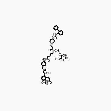 CN(CCCCC(=O)Nc1ccc(CNC[C@H](O)c2ccc(O)c3[nH]c(=O)ccc23)cc1)C(=O)CCN1CCC(OC(=O)Nc2ccccc2-c2ccccc2)CC1.O.O=C(O)C(=O)O